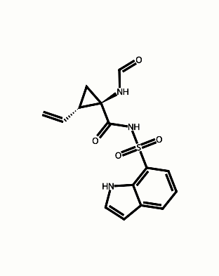 C=C[C@@H]1C[C@]1(NC=O)C(=O)NS(=O)(=O)c1cccc2cc[nH]c12